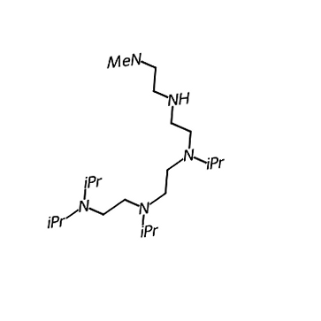 CNCCNCCN(CCN(CCN(C(C)C)C(C)C)C(C)C)C(C)C